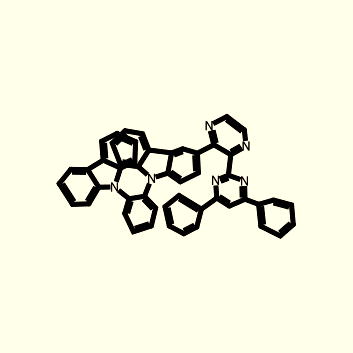 c1ccc(-c2cc(-c3ccccc3)nc(-c3nccnc3-c3ccc4c(c3)c3ccccc3n4-c3ccccc3-n3c4ccccc4c4ccccc43)n2)cc1